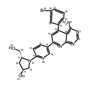 Nc1ncnc2nc(-c3ccc(N4C[C@@H](O)C[C@@H]4CO)nc3)cc(-c3cccc(Br)c3)c12